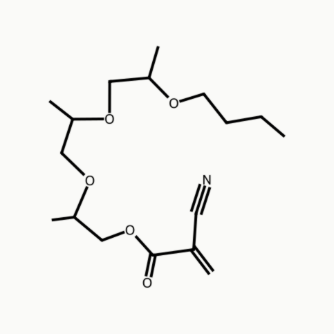 C=C(C#N)C(=O)OCC(C)OCC(C)OCC(C)OCCCC